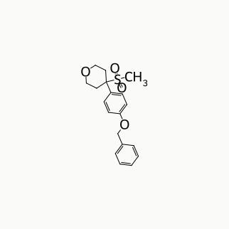 CS(=O)(=O)C1(c2ccc(OCc3ccccc3)cc2)CCOCC1